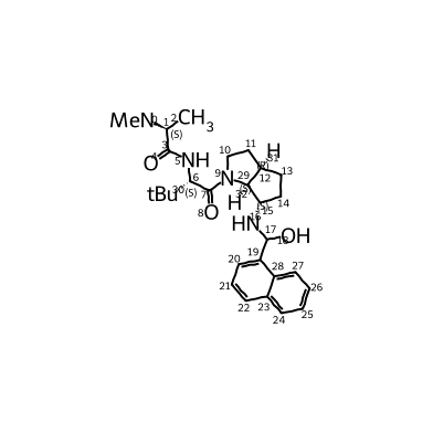 CN[C@@H](C)C(=O)N[C@H](C(=O)N1CC[C@H]2CC[C@H](NC(O)c3cccc4ccccc34)[C@H]21)C(C)(C)C